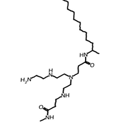 CCCCCCCCCCC(C)NC(=O)CCN(CCNCCN)CCNCCC(=O)NC